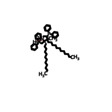 CCCCCCCCCCCCC1(C)[C@H](P(c2ccccc2)c2ccccc2)CN(C(=O)O)[C@]1(CCCCCCCCCCCC)CP(c1ccccc1)c1ccccc1